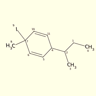 CCC(C)C1C=CC(C)(I)C=C1